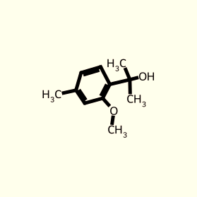 COc1cc(C)ccc1C(C)(C)O